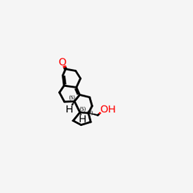 O=C1C=C2CC[C@@H]3C(=C2CC1)CC[C@]1(CO)CCC[C@@H]31